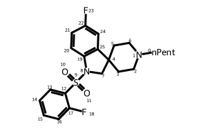 CCCCCN1CCC2(CC1)CN(S(=O)(=O)c1ccccc1F)c1ccc(F)cc12